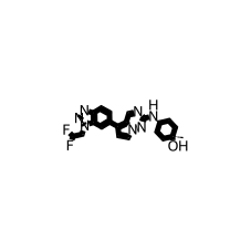 C[C@]1(O)CC[C@H](Nc2ncc3c(-c4ccc5nnn(CC(F)F)c5c4)ccn3n2)CC1